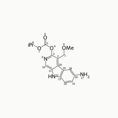 COCc1c(OC(=O)OC(C)C)ncc2[nH]c3ccc(N)cc3c12